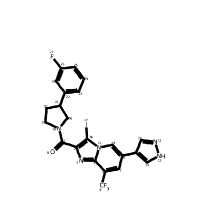 O=C(c1nc2c(C(F)(F)F)cc(-c3cn[nH]c3)cn2c1I)N1CCC(c2cccc(F)c2)C1